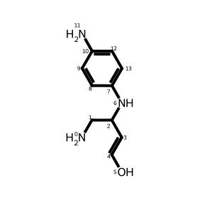 NCC(C=CO)Nc1ccc(N)cc1